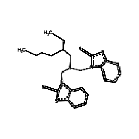 CCCCC(CC)CN(Cn1c(=S)sc2ccccc21)Cn1c(=S)sc2ccccc21